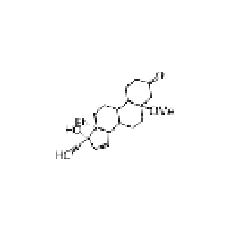 C#C[C@]1(O)C=CC2C3CC[C@@]4(OC)CC(=O)CCC4C3CC[C@@]21CC